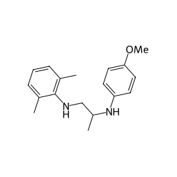 COc1ccc(NC(C)CNc2c(C)cccc2C)cc1